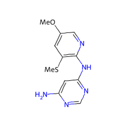 COc1cnc(Nc2cc(N)ncn2)c(SC)c1